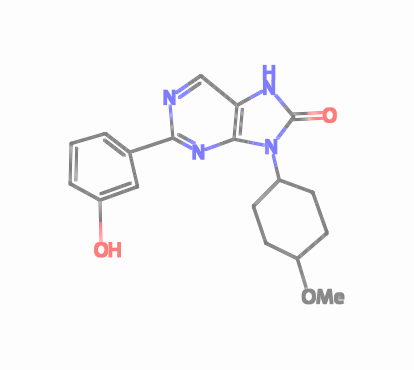 COC1CCC(n2c(=O)[nH]c3cnc(-c4cccc(O)c4)nc32)CC1